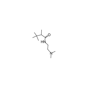 CC(C(=O)NCCN(C)C)C(C)(C)C